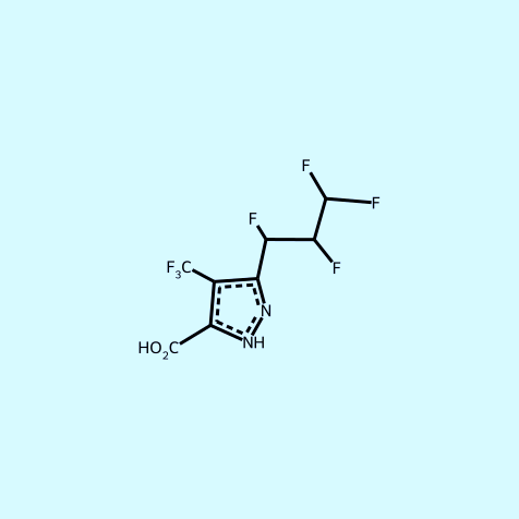 O=C(O)c1[nH]nc(C(F)C(F)C(F)F)c1C(F)(F)F